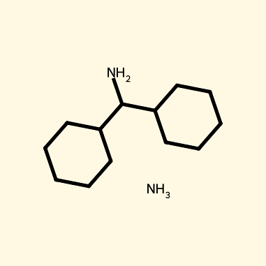 N.NC(C1CCCCC1)C1CCCCC1